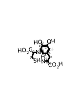 NC(CS)C(=O)O.NC(Cc1ccc(O)c(O)c1)C(=O)O